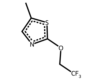 Cc1cnc(OCC(F)(F)F)s1